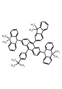 CC(C)(C)c1ccc(-c2c3ccc(N4c5ccccc5[Si](C)(C)c5ccccc54)cc3c(-c3ccc4c(c3)C(C)(C)c3ccccc3-4)c3ccc(N4c5ccccc5[Si](C)(C)c5ccccc54)cc23)cc1